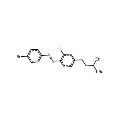 CCCCC(CC)CCc1ccc(N=Nc2ccc(Br)cc2)c(F)c1